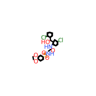 O=C(CNS(=O)(=O)c1ccc2c(c1)OCCO2)Nc1ccc(Cl)cc1C(O)c1ccccc1Cl